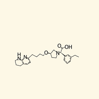 CCc1cccc([C@H](C(=O)O)N2CC[C@@H](OCCCCc3ccc4c(n3)NCCC4)C2)c1